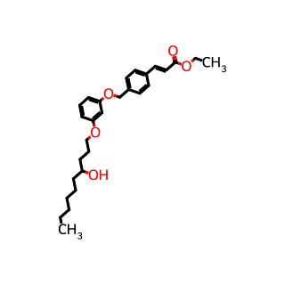 CCCCCCC(O)CCCOc1cccc(OCc2ccc(/C=C/C(=O)OCC)cc2)c1